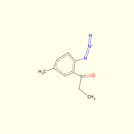 CCC(=O)c1cc(C)ccc1N=[N+]=[N-]